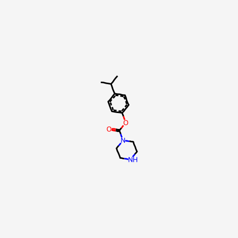 CC(C)c1ccc(OC(=O)N2CCNCC2)cc1